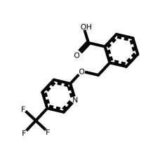 O=C(O)c1ccccc1COc1ccc(C(F)(F)F)cn1